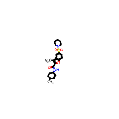 Cc1c(C(=O)NC2CCC(C)CC2)oc2ccc(S(=O)(=O)N3CCCCC3)cc12